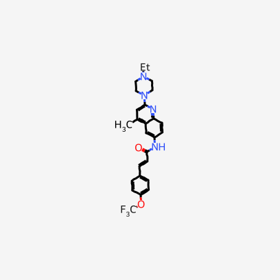 CCN1CCN(c2cc(C)c3cc(NC(=O)/C=C/c4ccc(OC(F)(F)F)cc4)ccc3n2)CC1